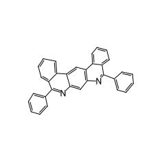 c1ccc(-c2nc3cc4nc(-c5ccccc5)c5ccccc5c4cc3c3ccccc23)cc1